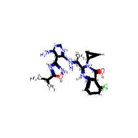 CC(C)c1nc(-c2c(N)ncnc2N[C@@H](C)c2nc3cccc(Cl)c3c(=O)n2C2CC2)no1